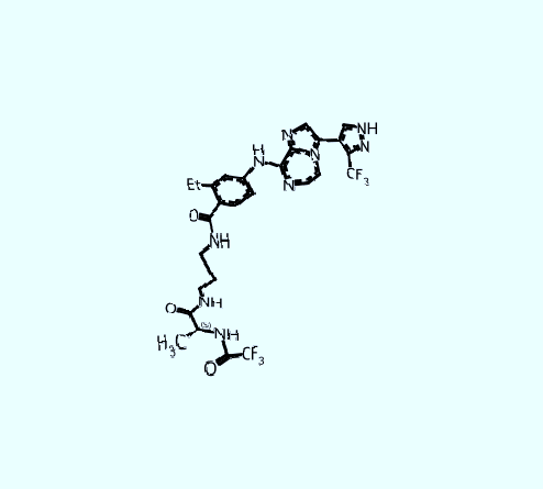 CCc1cc(Nc2nccn3c(-c4c[nH]nc4C(F)(F)F)cnc23)ccc1C(=O)NCCCNC(=O)[C@H](C)NC(=O)C(F)(F)F